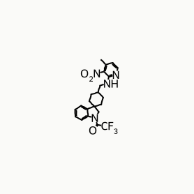 Cc1ccnc(NCC2CCC3(CC2)CN(C(=O)C(F)(F)F)c2ccccc23)c1[N+](=O)[O-]